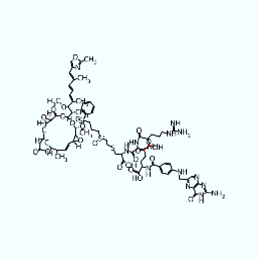 CO[C@@H](/C(C)=C/C=C/C(C)=C/c1coc(C)n1)[C@@H](C)[C@@H]1C[C@H](O[Si](C)(CCC[S+]([O-])CCSCC(NC(=O)C(CC(=O)O)NC(=O)C(CCCNC(=N)N)NC(=O)CCC(NC(=O)c2ccc(NCc3cnc4nc(N)[nH]c(=O)c4n3)cc2)C(=O)O)C(=O)O)c2ccccc2)[C@@]2(C)O[C@@H]2/C=C/[C@@H](C)[C@H]2C[C@H](CC(=O)O2)C[C@@H]2O[C@H]2C(=O)O1